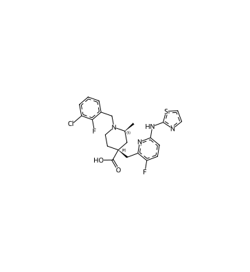 C[C@H]1C[C@](Cc2nc(Nc3nccs3)ccc2F)(C(=O)O)CCN1Cc1cccc(Cl)c1F